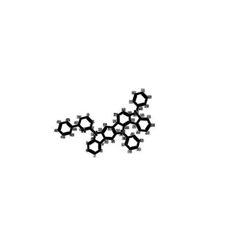 C1=CC(n2c3ccccc3c3cc4c(cc32)c2ccc3c(c5ccccc5n3-c3ccccc3)c2n4-c2ccccc2)=NC(c2ccccc2)C1